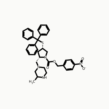 CC1CN(C[C@@H]2C[C@H](SC(c3ccccc3)(c3ccccc3)c3ccccc3)CN2C(=O)OCc2ccc([N+](=O)[O-])cc2)CCN1